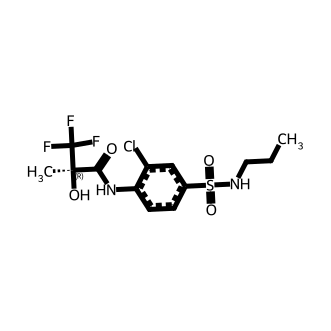 CCCNS(=O)(=O)c1ccc(NC(=O)[C@@](C)(O)C(F)(F)F)c(Cl)c1